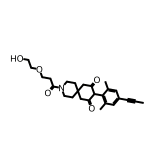 CC#Cc1cc(C)c(C2C(=O)CC3(CCN(C(=O)CCOCCO)CC3)CC2=O)c(C)c1